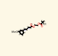 CCC(C)(C)C(=O)OCCOC(=O)/C=C/C=C/c1cccc(OC)c1